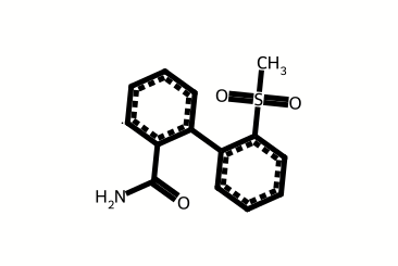 CS(=O)(=O)c1ccccc1-c1ccc[c]c1C(N)=O